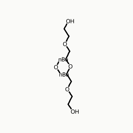 CCCCOCCCC.OCCOCCOCCOCCO